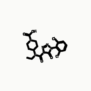 CCN(C(=O)n1nnn(-c2c(Cl)cccc2Cl)c1=O)C1CCN(C(=O)O)CC1